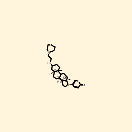 C[C@]12CCC(NCCN3CCOCC3)C[C@H]1CC[C@@H]1C2CC[C@]2(C)[C@@H](c3ccc(=O)oc3)CC[C@]12O